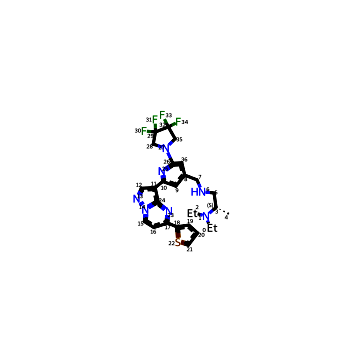 CCN(CC)[C@@H](C)CNCc1cc(-c2cnn3ccc(-c4cccs4)nc23)nc(N2CC(F)(F)C(F)(F)C2)c1